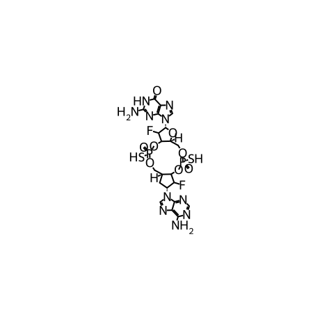 Nc1nc2c(ncn2[C@@H]2O[C@@H]3COP(=O)(S)OC4C(F)[C@H](n5cnc6c(N)ncnc65)C[C@@H]4COP(=O)(S)OC3C2F)c(=O)[nH]1